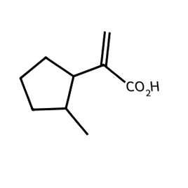 C=C(C(=O)O)C1CCCC1C